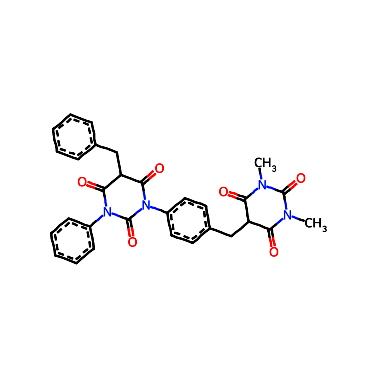 CN1C(=O)C(Cc2ccc(N3C(=O)C(Cc4ccccc4)C(=O)N(c4ccccc4)C3=O)cc2)C(=O)N(C)C1=O